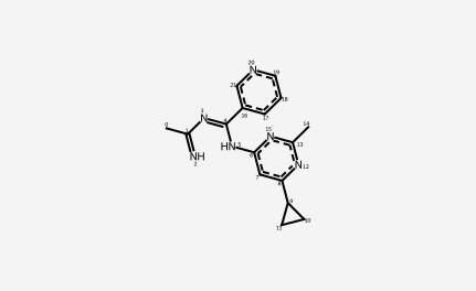 CC(=N)/N=C(\Nc1cc(C2CC2)nc(C)n1)c1cccnc1